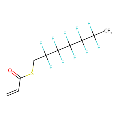 C=CC(=O)SCC(F)(F)C(F)(F)C(F)(F)C(F)(F)C(F)(F)C(F)(F)F